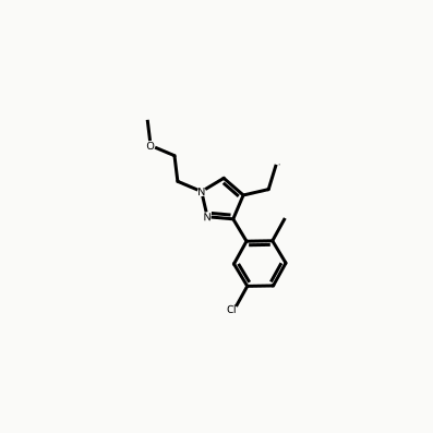 [CH2]Cc1cn(CCOC)nc1-c1cc(Cl)ccc1C